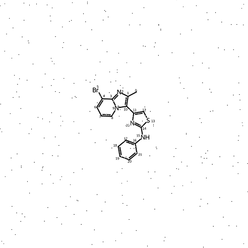 Cc1nc2c(Br)cccn2c1-c1csc(Nc2ccccc2)n1